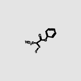 O=C(O)C(S[S])C(=O)Oc1ccccc1